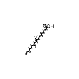 CCCCCCC(I)CCC(I)CCCCCCCC(=O)O